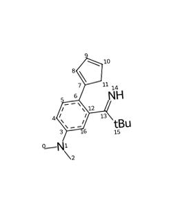 CN(C)c1ccc(C2=CC=CC2)c(C(=N)C(C)(C)C)c1